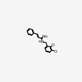 N=C(/C=C/c1ccccc1)NCc1cccc(Cl)c1Cl